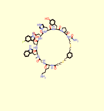 CN1C(=O)CNC(=O)[C@H](CCCCN)NC(=O)CCSCc2cccc(c2)CSC[C@@H](C(N)=O)NC(=O)[C@@H]2CCCN2C(=O)[C@H](Cc2ccc(O)cc2)NC(=O)[C@H](Cc2c[nH]cn2)NC(=O)[C@H](CC(=O)O)NC(=O)[C@H](Cc2c[nH]c3ccc(F)cc23)NC(=O)[C@@H]1Cc1c[nH]c2ccccc12